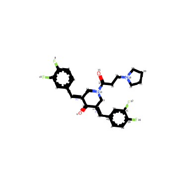 O=C1/C(=C/c2ccc(F)c(F)c2)CN(C(=O)CCN2CCCC2)C/C1=C\c1ccc(F)c(F)c1